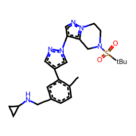 Cc1ccc(CNC2CC2)cc1-c1cnn(-c2cnn3c2CN(S(=O)(=O)C(C)(C)C)CC3)c1